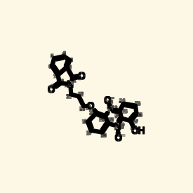 O=C1c2ccccc2C(=O)N1CCCOc1cccc2c1[n+]([O-])c1cccc(O)c1[n+]2[O-]